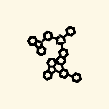 C1=CC2c3ccccc3N(c3ccc(-c4ccccc4)cc3-c3ccc4cc(-c5nc(-c6ccccc6)nc(-c6cccc(-n7c8ccccc8c8ccccc87)c6)n5)ccc4c3)C2C=C1